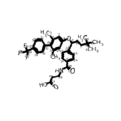 Cc1cc(OC(CCC(C)(C)C)c2ccc(C(=O)NCCC(=O)O)cc2)cc(C)c1-c1ccc(C(F)(F)F)cc1